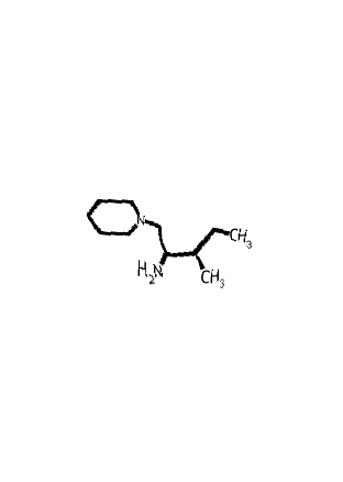 CC[C@@H](C)C(N)CN1CCCCC1